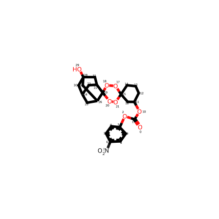 O=C(Oc1ccc([N+](=O)[O-])cc1)OC1CCCC2(C1)OOC1(OO2)C2CC3CC1CC(O)(C3)C2